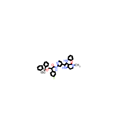 CN1CCc2[nH]c(-c3ccnc(NC(=O)C(CO[Si](c4ccccc4)(c4ccccc4)C(C)(C)C)c4ccc(F)cc4)c3)c(Nc3ccccc3)c2C1=O